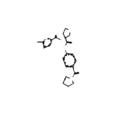 O=C(NC1(C(=O)Nc2ccc(C(=O)N3CCCC3)cc2)CCOC1)c1ccc(Br)s1